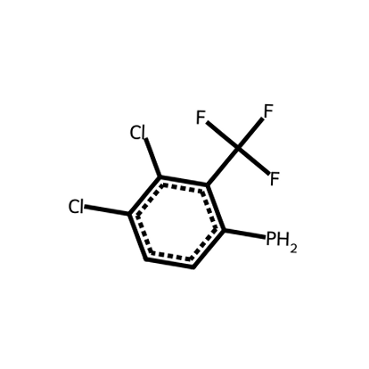 FC(F)(F)c1c(P)ccc(Cl)c1Cl